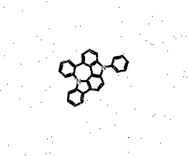 c1ccc(-n2c3cccc4c5ccccc5n5c6ccccc6c6ccc2c(c43)c65)cc1